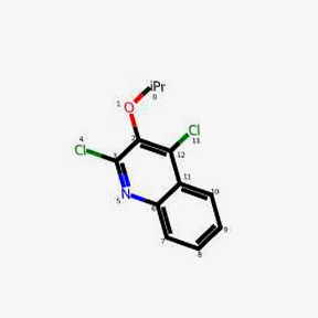 CC(C)Oc1c(Cl)nc2ccccc2c1Cl